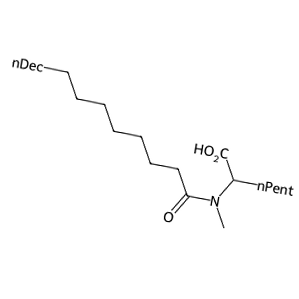 CCCCCCCCCCCCCCCCCC(=O)N(C)C(CCCCC)C(=O)O